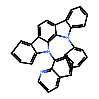 c1ccc(-n2c3ccccc3c3ccc4c5ccccc5n(-c5cccc6cccnc56)c4c32)cc1